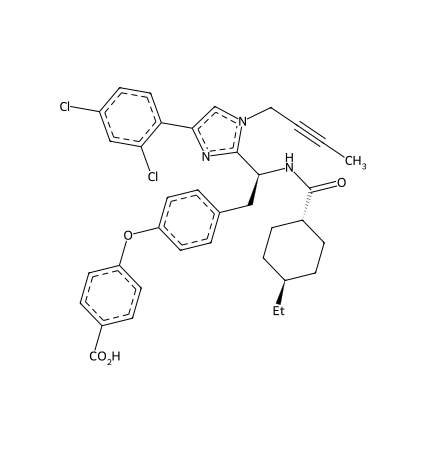 CC#CCn1cc(-c2ccc(Cl)cc2Cl)nc1[C@H](Cc1ccc(Oc2ccc(C(=O)O)cc2)cc1)NC(=O)[C@H]1CC[C@H](CC)CC1